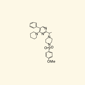 COc1ccc(S(=O)(=O)N2CCN(C(C)c3ncc(-c4ccccc4)c(N4CCCCC4)n3)CC2)cc1